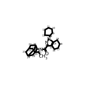 CC(NC(=O)c1nn(C2CCCCC2)c2c1CCCC2)C12CC3CC(CC(C3)C1)C2